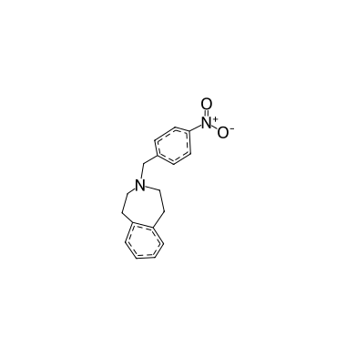 O=[N+]([O-])c1ccc(CN2CCc3ccccc3CC2)cc1